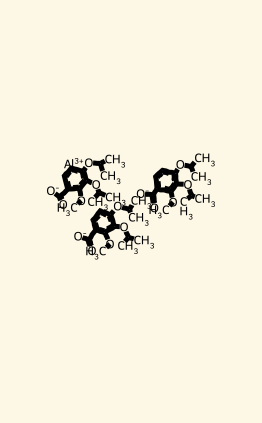 COc1c(C(=O)[O-])ccc(OC(C)C)c1OC(C)C.COc1c(C(=O)[O-])ccc(OC(C)C)c1OC(C)C.COc1c(C(=O)[O-])ccc(OC(C)C)c1OC(C)C.[Al+3]